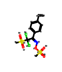 COc1ccc(C(=NOS(C)(=O)=O)C(Cl)(Cl)S(C)(=O)=O)cc1